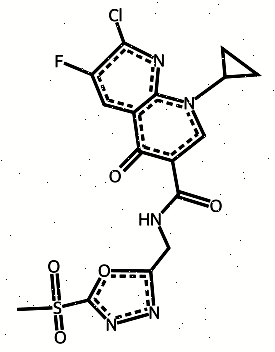 CS(=O)(=O)c1nnc(CNC(=O)c2cn(C3CC3)c3nc(Cl)c(F)cc3c2=O)o1